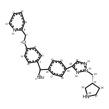 CC(C)(C)C(c1ccc(OCc2ccccn2)cc1)c1ccc(-c2cnn(C[C@@H]3CCNC3)n2)cc1